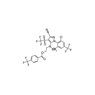 CN(CCOC(=O)c1ccc(C(F)(F)F)cc1)c1c(S(=O)(=O)C(F)(F)F)c(C#N)nn1-c1c(Cl)cc(C(F)(F)F)cc1Cl